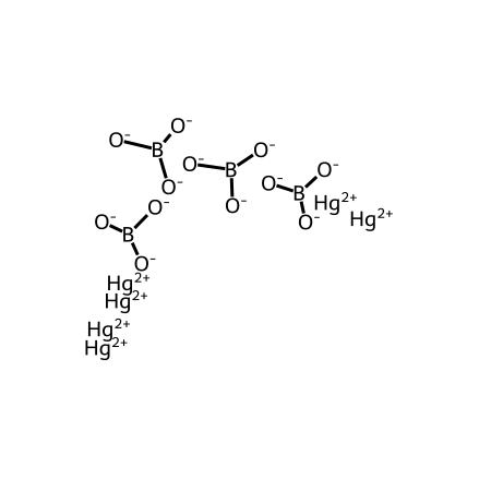 [Hg+2].[Hg+2].[Hg+2].[Hg+2].[Hg+2].[Hg+2].[O-]B([O-])[O-].[O-]B([O-])[O-].[O-]B([O-])[O-].[O-]B([O-])[O-]